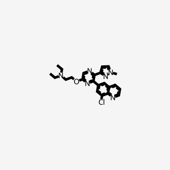 CCN(CC)CCOc1cnc(-c2ccn(C)n2)c(-c2cc(Cl)c3ncccc3c2)n1